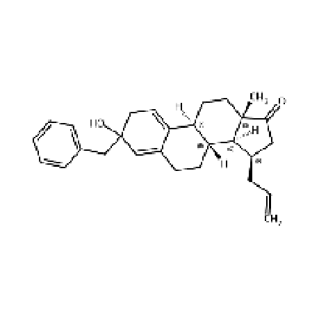 C=CC[C@@H]1CC(=O)[C@@]2(C)CC[C@@H]3C4=CCC(O)(Cc5ccccc5)C=C4CC[C@H]3[C@H]12